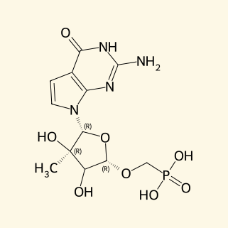 C[C@@]1(O)C(O)[C@@H](OCP(=O)(O)O)O[C@H]1n1ccc2c(=O)[nH]c(N)nc21